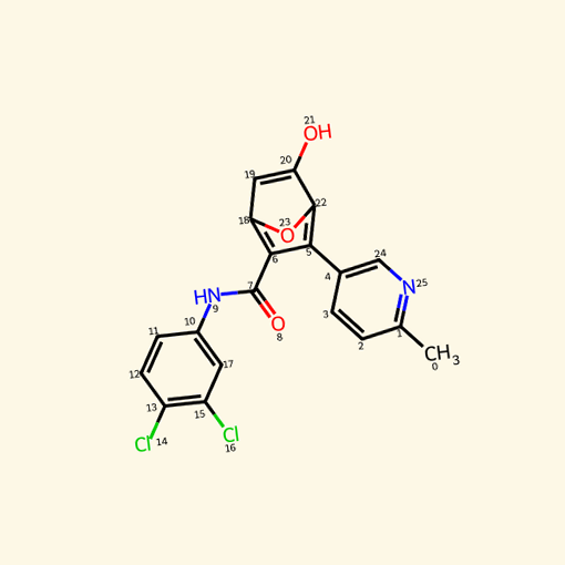 Cc1ccc(-c2c(C(=O)Nc3ccc(Cl)c(Cl)c3)c3cc(O)c2o3)cn1